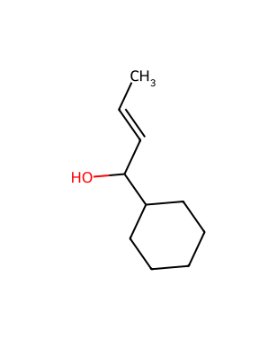 CC=CC(O)C1CCCCC1